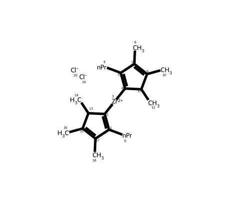 CCCC1=[C]([Zr+2][C]2=C(CCC)C(C)=C(C)C2C)C(C)C(C)=C1C.[Cl-].[Cl-]